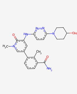 Cc1c(C(N)=O)cccc1-c1cc(Nc2ccc(N3CCC(O)CC3)nn2)c(=O)n(C)c1